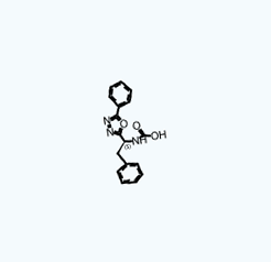 O=C(O)N[C@@H](Cc1ccccc1)c1nnc(-c2ccccc2)o1